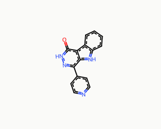 O=c1[nH]nc(-c2ccncc2)c2[nH]c3ccccc3c12